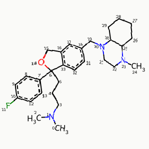 CN(C)CCCC1(c2ccc(F)cc2)OCc2cc(CN3CCN(C)C4CCCCC43)ccc21